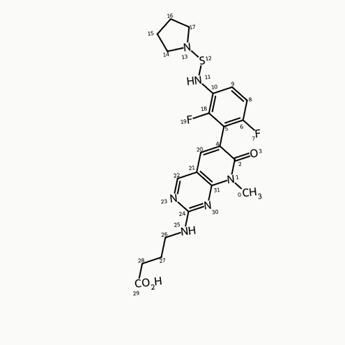 Cn1c(=O)c(-c2c(F)ccc(NSN3CCCC3)c2F)cc2cnc(NCCCC(=O)O)nc21